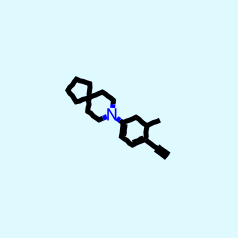 C#CC1=CC=C(N2CCC3(CCCC3)CC2)CC1C